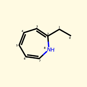 CCC1=CC=CC=CN1